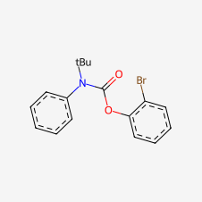 CC(C)(C)N(C(=O)Oc1ccccc1Br)c1ccccc1